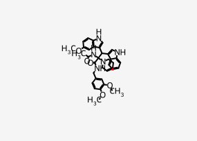 COc1ccc2[nH]cc(C(c3c[nH]c4ccccc34)C(NC(C)=O)(C(=O)NCc3ccc(OC)c(OC)c3)N3CC=CCC3)c2c1